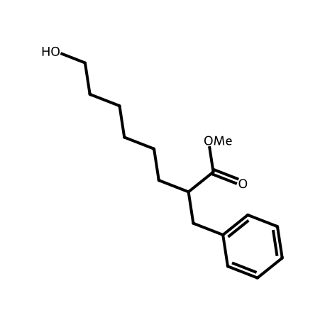 COC(=O)C(CCCCCCO)Cc1ccccc1